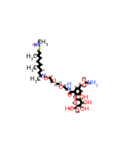 C/C(=C\CSN(C)I)CC/C=C(\C)CC/C(C)=N/OCCOCCOCCNC(=O)c1cc(COC(N)=O)ccc1O[C@@H]1O[C@H](C(=O)O)[C@@H](O)[C@H](O)[C@H]1O